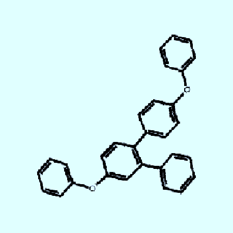 c1ccc(Oc2ccc(-c3ccc(Oc4ccccc4)cc3-c3ccccc3)cc2)cc1